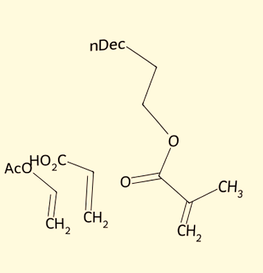 C=C(C)C(=O)OCCCCCCCCCCCC.C=CC(=O)O.C=COC(C)=O